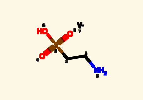 NCCS(=O)(=O)O.[V]